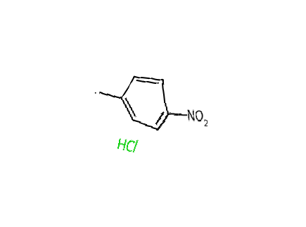 Cl.[CH2]c1ccc([N+](=O)[O-])cc1